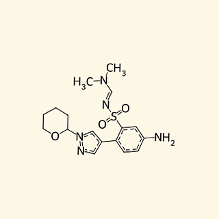 CN(C)C=NS(=O)(=O)c1cc(N)ccc1-c1cnn(C2CCCCO2)c1